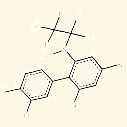 [O-][S+](c1cc(Br)[c]c(Br)c1-c1ccc(Cl)c(Cl)c1)C(F)(F)C(F)(F)C(F)(F)F